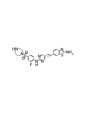 Nc1nc2ccc(/C=C/c3cnc(Nc4ccc(S(=O)(=O)N5CCCNCC5)cc4F)nc3)cc2s1